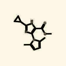 COC(=O)c1[nH]c(C2CC2)nc1-n1c(C)ccc1C